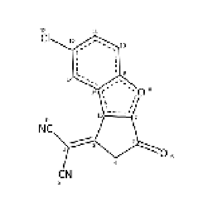 N#CC(C#N)=C1CC(=O)c2oc3ccc(Cl)cc3c21